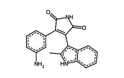 Cc1[nH]c2ccccc2c1C1=C(c2cccc(N)c2)C(=O)NC1=O